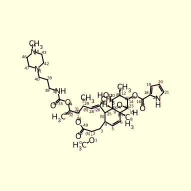 CO[C@H]1CC2C=C[C@]3(C)[C@H]4[C@H](O)[C@@H](C)[C@@H](OC(=O)c5ccc[nH]5)[C@@H]3O[C@@]24/C(C)=C/[C@@H](C)[C@@H]([C@@H](C)OC(=O)NCCCN2CCN(C)CC2)OC1=O